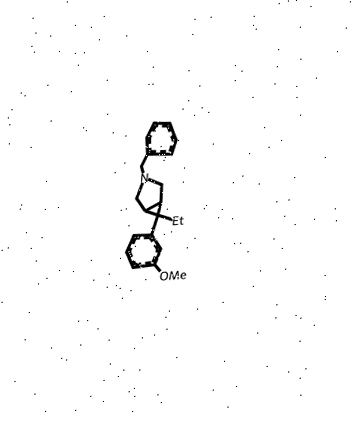 CCC1(c2cccc(OC)c2)C2CN(Cc3ccccc3)CC21